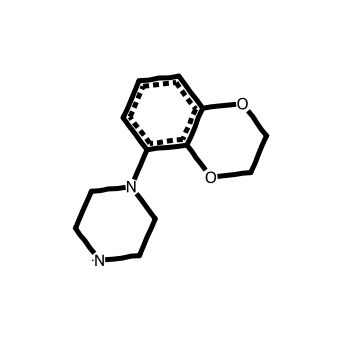 c1cc2c(c(N3CC[N]CC3)c1)OCCO2